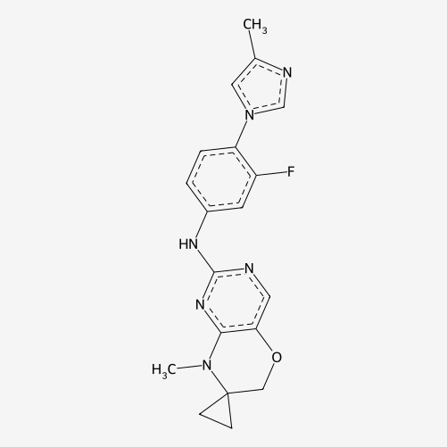 Cc1cn(-c2ccc(Nc3ncc4c(n3)N(C)C3(CC3)CO4)cc2F)cn1